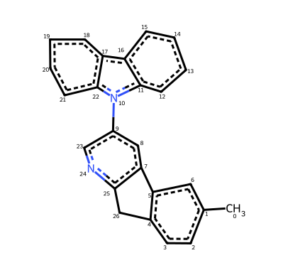 Cc1ccc2c(c1)-c1cc(-n3c4ccccc4c4ccccc43)cnc1C2